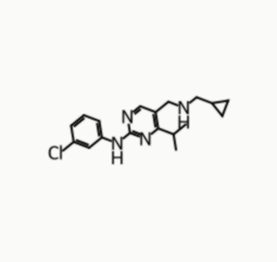 CC(C)c1nc(Nc2cccc(Cl)c2)ncc1CNCC1CC1